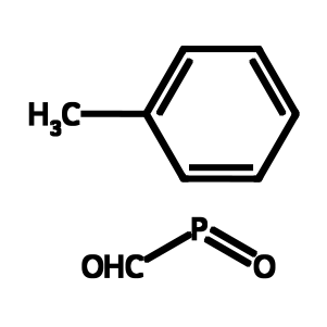 Cc1ccccc1.O=CP=O